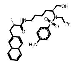 CC(C)CN([C@H](CO)CCCCNC(=O)[C@@H](C)CC1=CC2C=CC=CC2C=C1)S(=O)(=O)c1ccc(N)cc1